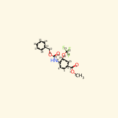 COC(=O)c1ccc(NC(=O)OCc2ccccc2)c(OC(F)(F)F)c1